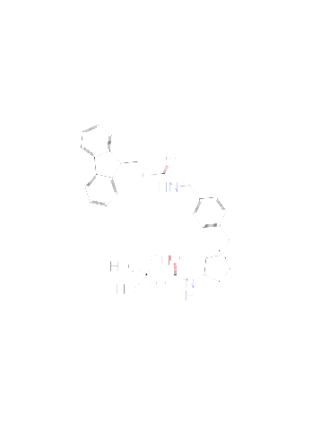 CC(C)(C)OC(=O)NC1CCN(Cc2ccc(CNC(=O)OCC3c4ccccc4-c4ccccc43)cc2)C1